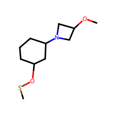 COC1CN(C2CCCC(OSC)C2)C1